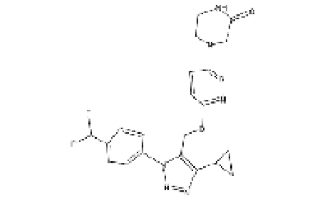 O=C1CN(c2ccc(OCc3c(C4CC4)nnn3-c3ccc(C(F)F)cc3)nn2)CCN1